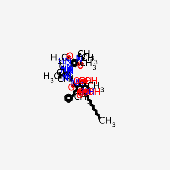 [C-]#[N+]c1c(C(C)(C)C)nn(CCNC(=O)C(C(CC(C)c2ccccc2)C(=O)O)C(C(=O)O)C(C(=O)NCCCCCCCCCCCC)C(C(=O)O)C(C)C(=O)O)c1/N=N/c1cc(OC)c(N(CC)CC)cc1NC(C)=O